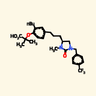 CCCCc1cc(CCC[C@H]2CN(Cc3ccc(C(F)(F)F)cc3)C(=O)N2C)ccc1OC(C)(C)C(=O)O